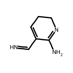 N=CC1=CCCN=C1N